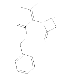 CC(C)=C(C(=O)OCc1ccccc1)N1C(=O)C[C@H]1S(=O)(=O)O